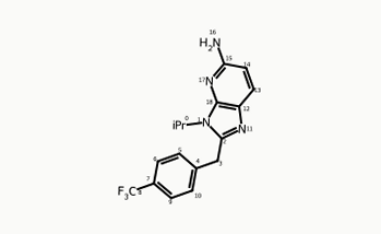 CC(C)n1c(Cc2ccc(C(F)(F)F)cc2)nc2ccc(N)nc21